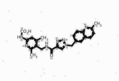 Cc1ccc2cc(Cn3cc(C(=O)NCc4c(C)cc(NC(=O)O)nc4C)nn3)ccc2n1